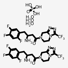 NC(CC(=O)N1CCn2c(nnc2C(F)(F)F)C1)Cc1cc(F)c(F)cc1F.NC(CC(=O)N1CCn2c(nnc2C(F)(F)F)C1)Cc1cc(F)c(F)cc1F.O.O.O.O=P(O)(O)O